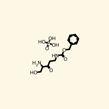 NC(CO)C(=O)CCNC(=O)OCc1ccccc1.O=P(O)(O)O